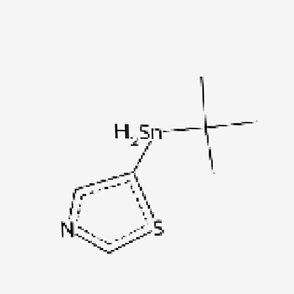 C[C](C)(C)[SnH2][c]1cncs1